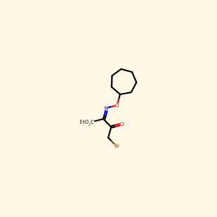 CCOC(=O)C(=NOC1CCCCCC1)C(=O)CBr